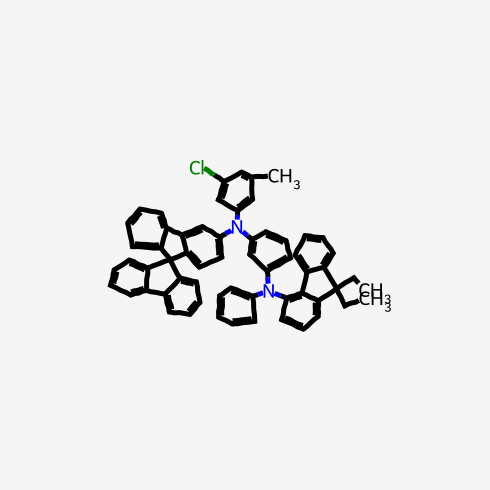 CCC1(CC)c2ccccc2-c2c(N(c3ccccc3)c3cccc(N(c4cc(C)cc(Cl)c4)c4ccc5c(c4)-c4ccccc4C54c5ccccc5-c5ccccc54)c3)cccc21